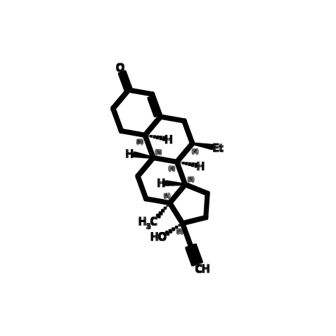 C#C[C@]1(O)CC[C@H]2[C@@H]3[C@H](CC)CC4=CC(=O)CC[C@@H]4[C@H]3CC[C@@]21C